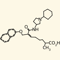 CC(CCCC=C(COc1ccc2ccccc2c1)C(=O)NC1CCN(C2CCCCC2)C1)C(=O)O